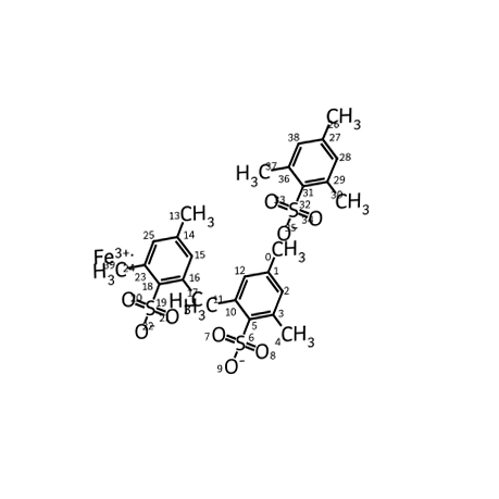 Cc1cc(C)c(S(=O)(=O)[O-])c(C)c1.Cc1cc(C)c(S(=O)(=O)[O-])c(C)c1.Cc1cc(C)c(S(=O)(=O)[O-])c(C)c1.[Fe+3]